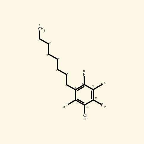 CCCCCCCCc1c(F)c(F)c(F)c(Cl)c1F